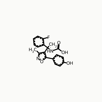 [CH2]C(NC(=O)O)(c1ccccc1F)c1c(C)noc1-c1ccc(O)cc1